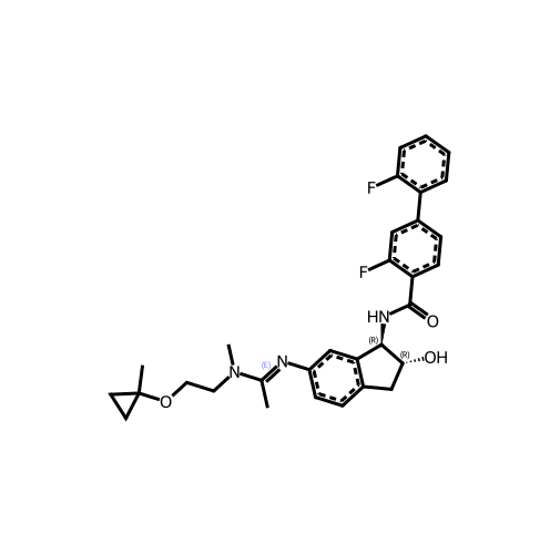 C/C(=N\c1ccc2c(c1)[C@@H](NC(=O)c1ccc(-c3ccccc3F)cc1F)[C@H](O)C2)N(C)CCOC1(C)CC1